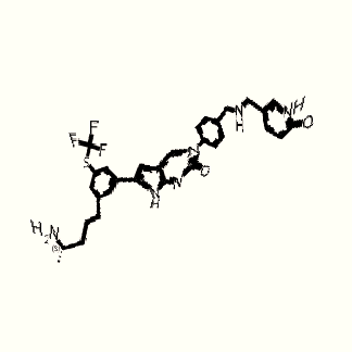 C[C@H](N)CCCc1cc(SC(F)(F)F)cc(-c2cc3cn(-c4ccc(CNCc5ccc(=O)[nH]c5)cc4)c(=O)nc3[nH]2)c1